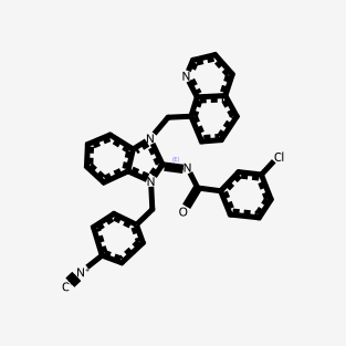 [C-]#[N+]c1ccc(Cn2/c(=N\C(=O)c3cccc(Cl)c3)n(Cc3cccc4cccnc34)c3ccccc32)cc1